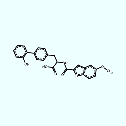 COc1ccc2oc(C(=O)NC(Cc3ccc(-c4ccccc4O)cc3)C(=O)O)cc2c1